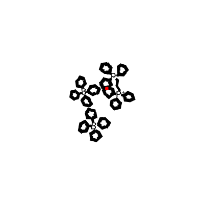 c1ccc([B-](c2ccccc2)(c2ccccc2)c2ccccc2)cc1.c1ccc([B-](c2ccccc2)(c2ccccc2)c2ccccc2)cc1.c1ccc([P+](CCC[P+](c2ccccc2)(c2ccccc2)c2ccccc2)(c2ccccc2)c2ccccc2)cc1